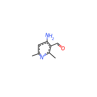 Cc1cc(N)c(C=O)c(C)n1